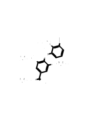 COC(=O)c1cc(OC)c(Oc2cccc(F)c2[N+](=O)[O-])c(OC)c1